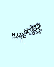 CC(C)(C)OC(=O)N1CC2CN(S(=O)(=O)c3cccc4cncc(Br)c34)CC21